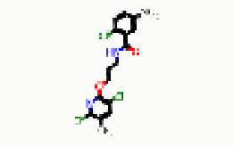 O=C(NCCCOc1nc(Cl)c(C(F)(F)F)cc1Cl)c1cc([N+](=O)[O-])ccc1Cl